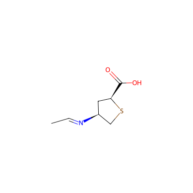 CC=N[C@@H]1CS[C@H](C(=O)O)C1